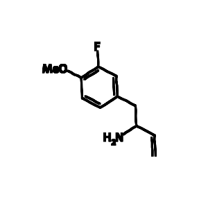 C=CC(N)Cc1ccc(OC)c(F)c1